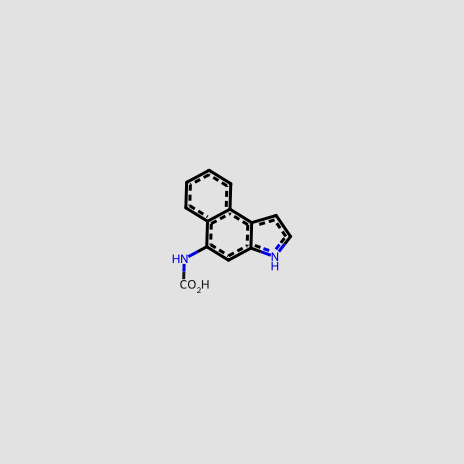 O=C(O)Nc1cc2[nH]ccc2c2ccccc12